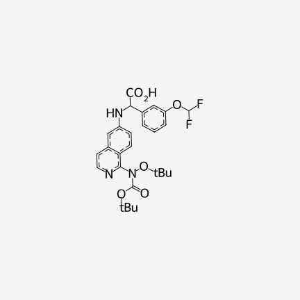 CC(C)(C)OC(=O)N(OC(C)(C)C)c1nccc2cc(NC(C(=O)O)c3cccc(OC(F)F)c3)ccc12